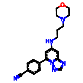 N#Cc1ccc(-c2cc(NCCCN3CCOCC3)cc3ncnn23)cc1